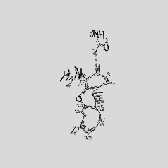 NC(=O)Cc1cccc(Oc2ccccc2F)c1N